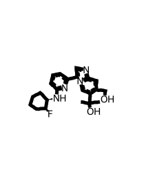 CC(C)(O)c1cn2c(-c3cccc(N[C@H]4CCCC[C@@H]4F)n3)cnc2cc1CO